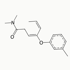 C/C=C\C(=C/CC(=O)N(C)C)Oc1cccc(C)c1